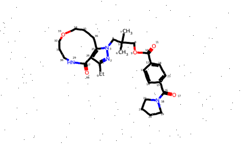 CCc1nn(CC(C)(C)COC(=O)c2ccc(C(=O)N3CCCC3)cc2)c2c1C(=O)NCCCOCCC2